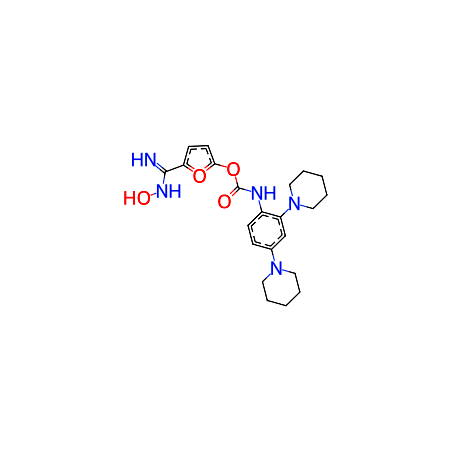 N=C(NO)c1ccc(OC(=O)Nc2ccc(N3CCCCC3)cc2N2CCCCC2)o1